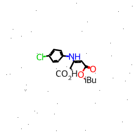 CCC(C)OC(=O)C=C(CC(=O)O)Nc1ccc(Cl)cc1